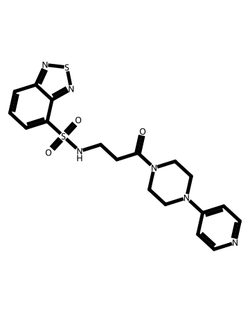 O=C(CCNS(=O)(=O)c1cccc2nsnc12)N1CCN(c2ccncc2)CC1